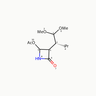 COC(OC)[C@H](C(C)C)C1C(=O)NC1OC(C)=O